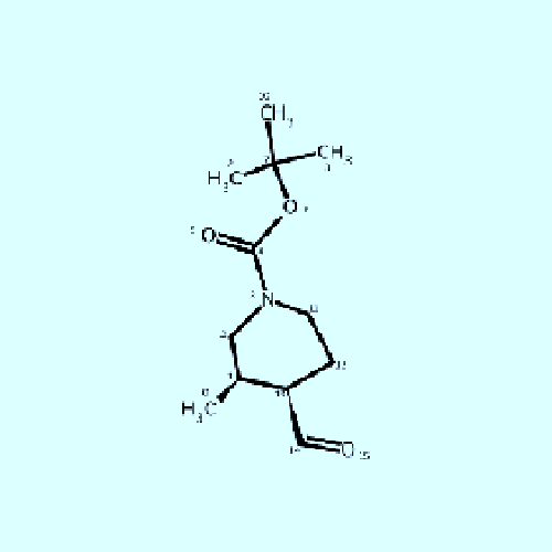 C[C@H]1CN(C(=O)OC(C)(C)C)CC[C@H]1C=O